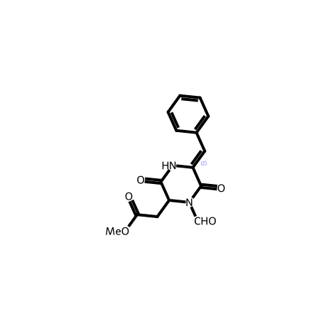 COC(=O)CC1C(=O)N/C(=C\c2ccccc2)C(=O)N1C=O